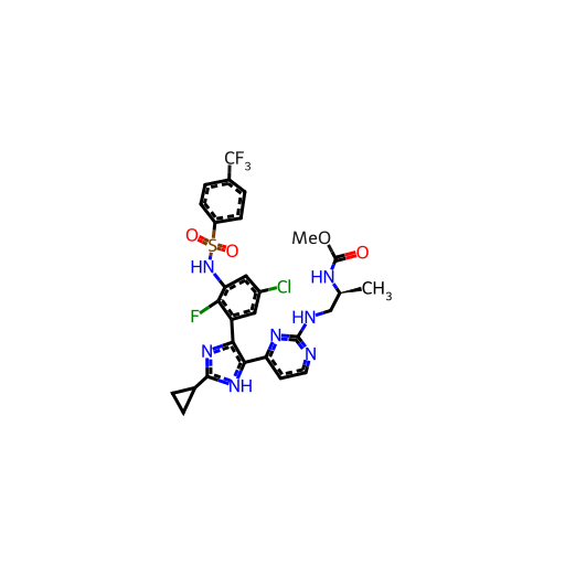 COC(=O)N[C@@H](C)CNc1nccc(-c2[nH]c(C3CC3)nc2-c2cc(Cl)cc(NS(=O)(=O)c3ccc(C(F)(F)F)cc3)c2F)n1